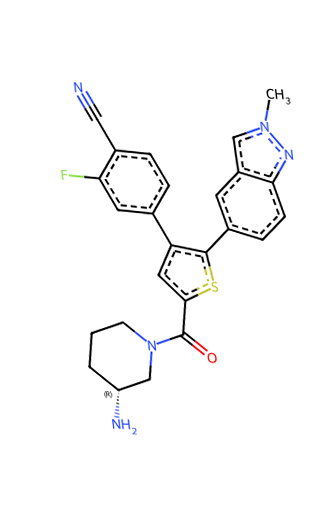 Cn1cc2cc(-c3sc(C(=O)N4CCC[C@@H](N)C4)cc3-c3ccc(C#N)c(F)c3)ccc2n1